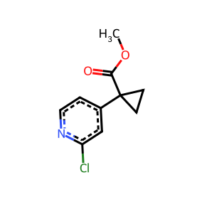 COC(=O)C1(c2ccnc(Cl)c2)CC1